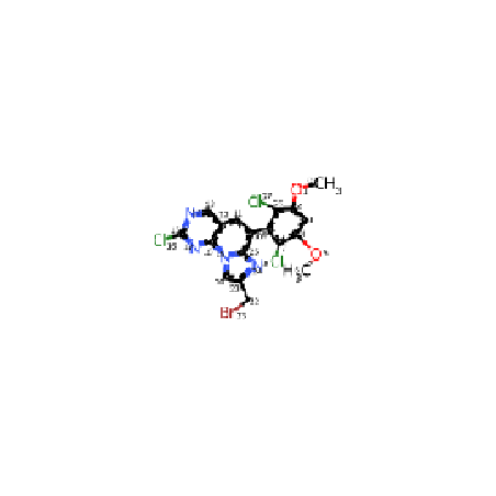 COc1cc(OC)c(Cl)c(-c2cc3cnc(Cl)nc3n3cc(CBr)nc23)c1Cl